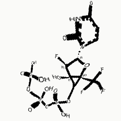 O=c1ccn([C@@H]2O[C@]3(C(F)(F)F)C(OP(=O)(O)OP(=O)(O)OP(=O)(O)O)[C@]3(O)[C@H]2F)c(=O)[nH]1